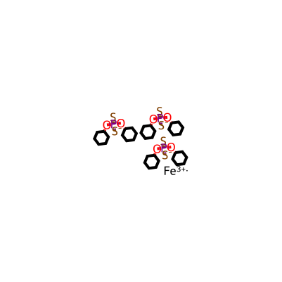 S=P([S-])(OC1CCCCC1)OC1CCCCC1.S=P([S-])(OC1CCCCC1)OC1CCCCC1.S=P([S-])(OC1CCCCC1)OC1CCCCC1.[Fe+3]